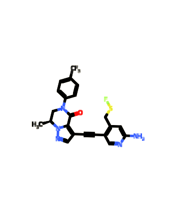 C[C@H]1CN(c2ccc(C(F)(F)F)cc2)C(=O)c2c(C#Cc3cnc(N)cc3CSF)cnn21